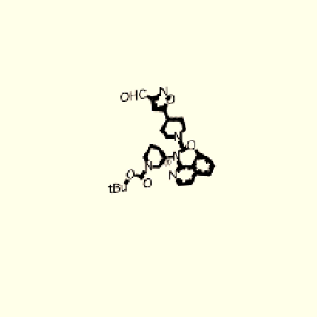 Cc1cccc2ccnc(N(C(=O)N3CCC(c4cc(C=O)no4)CC3)[C@@H]3CCCN(C(=O)OC(C)(C)C)C3)c12